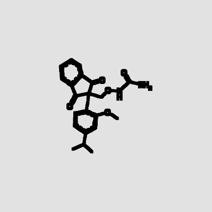 COc1cc(C(C)C)ccc1C1(CONC(N)=O)C(=O)c2ccccc2C1=O